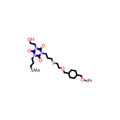 CCCOCC1CCC(COCCSCCCn2c(=O)n(CCO)c(=O)n(CCCSC)c2=O)CC1